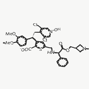 COc1ccc([C@H](Cc2c(Cl)c[n+](O)cc2Cl)c2cc(CNC(C(=O)OCC3CN(C)C3)c3ccccc3)sc2C(=O)[O-])cc1OC